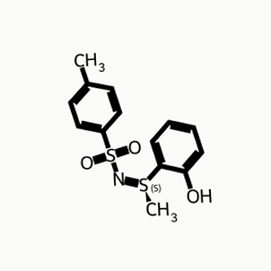 Cc1ccc(S(=O)(=O)N=[S@](C)c2ccccc2O)cc1